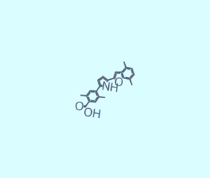 Cc1cc(-c2ccc(-c3cc4c(C)ccc(C)c4o3)[nH]2)c(C)cc1C(=O)O